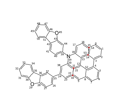 c1ccc(-c2cccc3cccc(-c4ccccc4N(c4cccc(-c5ccc6oc7ccccc7c6c5)c4)c4ccc5c(c4)oc4ccccc45)c23)cc1